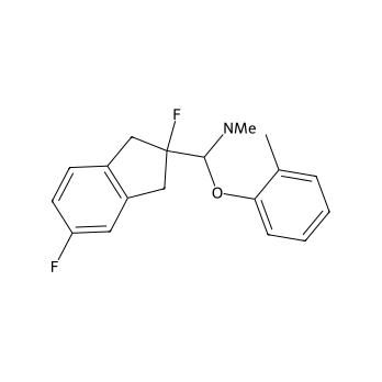 CNC(Oc1ccccc1C)C1(F)Cc2ccc(F)cc2C1